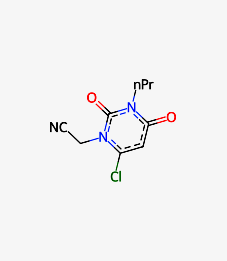 CCCn1c(=O)cc(Cl)n(CC#N)c1=O